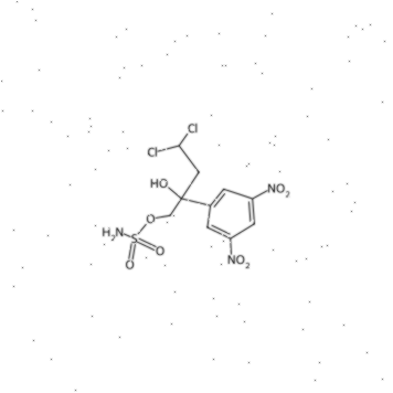 NS(=O)(=O)OCC(O)(CC(Cl)Cl)c1cc([N+](=O)[O-])cc([N+](=O)[O-])c1